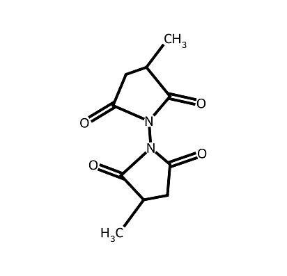 CC1CC(=O)N(N2C(=O)CC(C)C2=O)C1=O